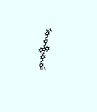 Nc1ccc(C=Cc2ccc(C=Cc3c4ccccc4c(C=Cc4ccc(C=Cc5ccc(N)cc5)cc4)c4ccccc34)cc2)cc1